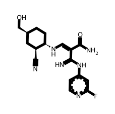 N#C[C@H]1C[C@@H](CO)CC[C@@H]1N/C=C(\C(=N)Nc1ccnc(F)c1)C(N)=O